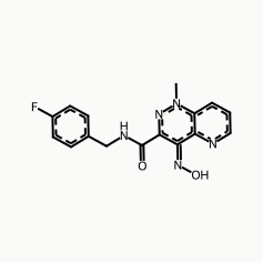 Cn1nc(C(=O)NCc2ccc(F)cc2)/c(=N/O)c2ncccc21